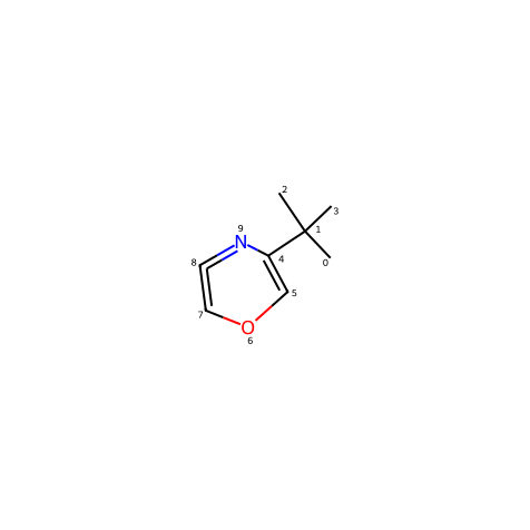 CC(C)(C)C1=COC=C=N1